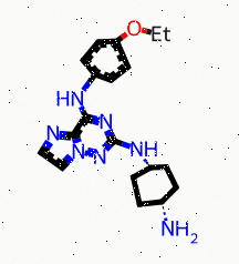 CCOc1ccc(Nc2nc(N[C@H]3CC[C@@H](N)CC3)nn3ccnc23)cc1